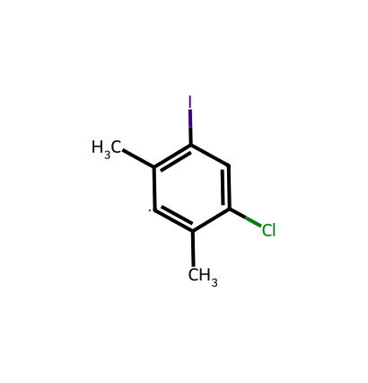 Cc1[c]c(C)c(I)cc1Cl